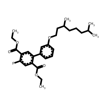 CCOC(=O)c1cc(-c2cccc(OCCC(C)CCCC(C)C)c2)c(C(=O)OCC)cc1F